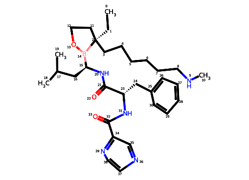 CC[C@@]1(CCCCCCNC)CCOB1[C@H](CC(C)C)NC(=O)[C@H](Cc1ccccc1)NC(=O)c1cnccn1